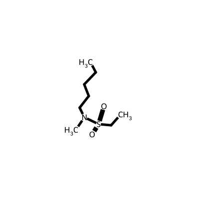 CCCCCN(C)S(=O)(=O)CC